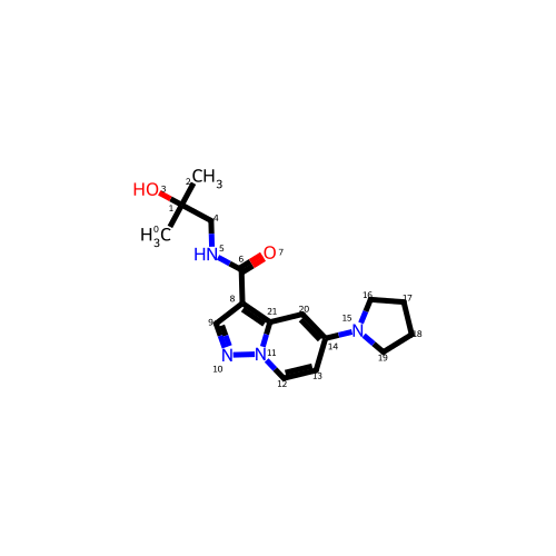 CC(C)(O)CNC(=O)c1cnn2ccc(N3CCCC3)cc12